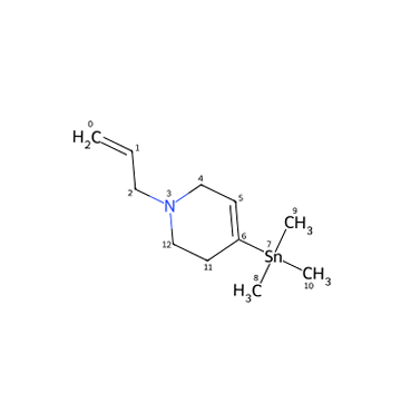 C=CCN1CC=[C]([Sn]([CH3])([CH3])[CH3])CC1